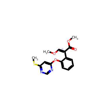 CO/C=C(/C(=O)OC)c1ccccc1Oc1cc(SC)ncn1